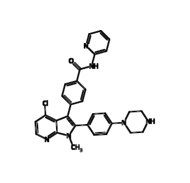 Cn1c(-c2ccc(N3CCNCC3)cc2)c(-c2ccc(C(=O)Nc3ccccn3)cc2)c2c(Cl)ccnc21